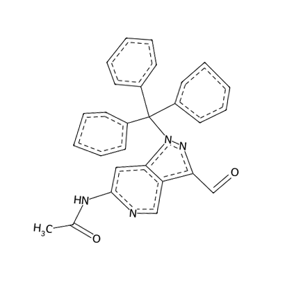 CC(=O)Nc1cc2c(cn1)c(C=O)nn2C(c1ccccc1)(c1ccccc1)c1ccccc1